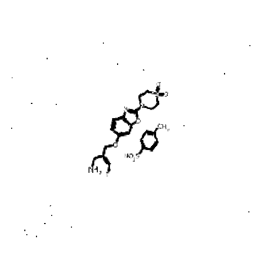 Cc1ccc(S(=O)(=O)O)cc1.NCC(=CF)COc1ccc2nc(N3CCS(=O)(=O)CC3)oc2c1